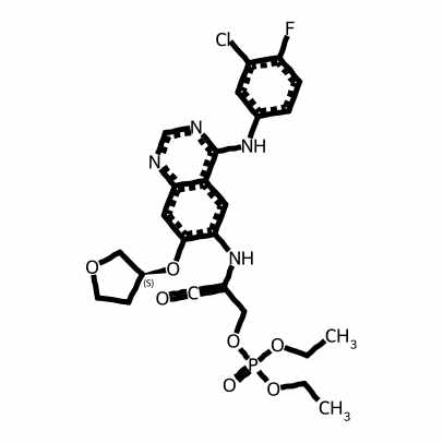 CCOP(=O)(OCC)OCC(=C=O)Nc1cc2c(Nc3ccc(F)c(Cl)c3)ncnc2cc1O[C@H]1CCOC1